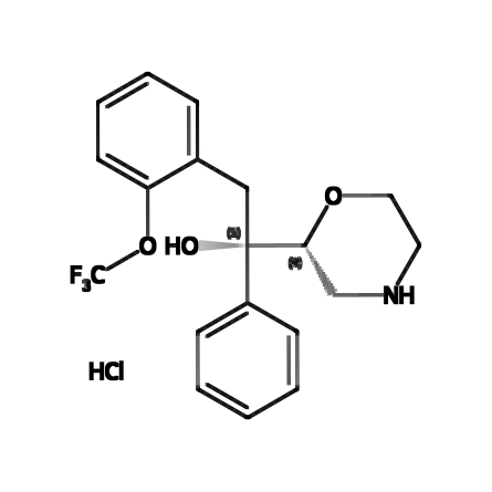 Cl.O[C@@](Cc1ccccc1OC(F)(F)F)(c1ccccc1)[C@H]1CNCCO1